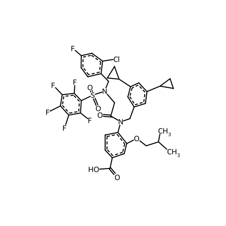 CC(C)COc1cc(C(=O)O)ccc1N(Cc1cc(C2CC2)cc(C2CC2)c1)C(=O)CN(Cc1ccc(F)cc1Cl)S(=O)(=O)c1c(F)c(F)c(F)c(F)c1F